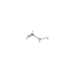 [CH2]ON=C